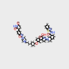 Cc1c(OC2CCC(CCCN3CCN(c4nc5cc(C6CCC(=O)NC6=O)ccc5o4)CC3)CC2)cccc1-c1ccc(N2CCc3cccc(C(=O)Nc4nc5ccccc5s4)c3C2)nc1C(=O)O